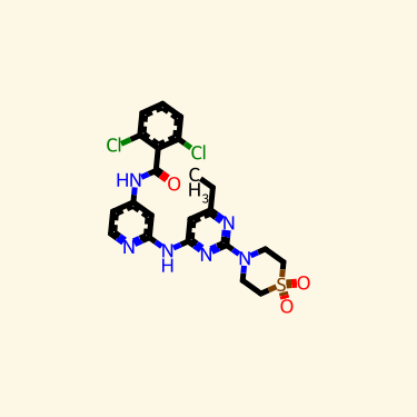 CCc1cc(Nc2cc(NC(=O)c3c(Cl)cccc3Cl)ccn2)nc(N2CCS(=O)(=O)CC2)n1